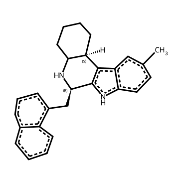 Cc1ccc2[nH]c3c(c2c1)[C@@H]1CCCCC1N[C@@H]3Cc1cccc2ccccc12